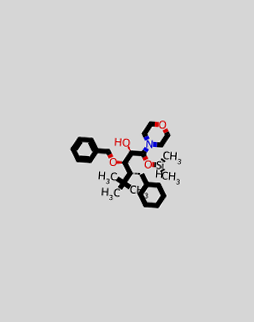 C[SiH](C)OC([C@@H](O)[C@H](OCc1ccccc1)[C@H](CC1CCCCC1)C(C)(C)C)N1CCOCC1